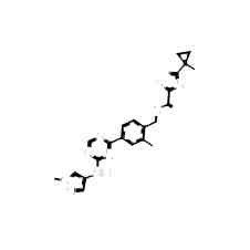 Cc1cc(-c2ncnc(Nc3cnn(C)c3)n2)ccc1CNC(=O)c1noc(C2(C)CC2)n1